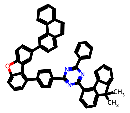 CC1(C)c2ccccc2-c2c(-c3nc(-c4ccccc4)nc(-c4ccc(-c5cccc6oc7ccc(-c8ccc9ccc%10ccccc%10c9c8)cc7c56)cc4)n3)cccc21